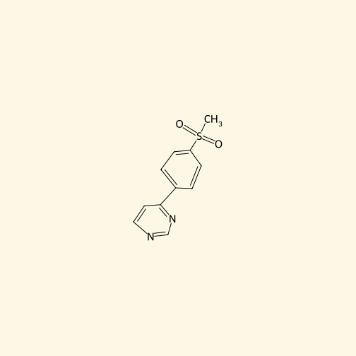 CS(=O)(=O)c1ccc(-c2ccncn2)cc1